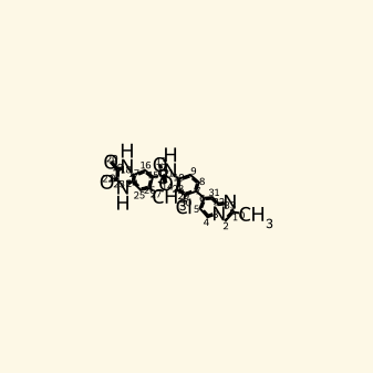 Cc1cn2ccc(-c3ccc(NS(=O)(=O)c4cc5[nH]c(=O)c(=O)[nH]c5cc4C)cc3Cl)cc2n1